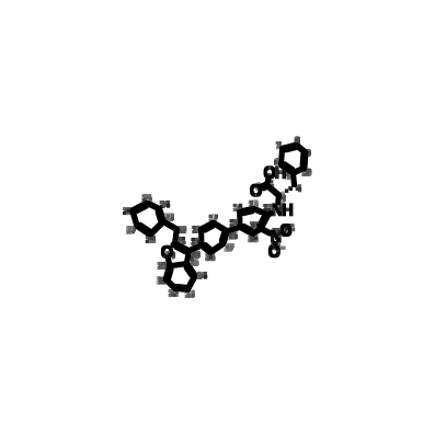 O=C(O)[C@H](Cc1ccccc1)Nc1ccc(-c2ccc(-c3c(Cc4ccccc4)oc4ccccc34)cc2)cc1[N+](=O)[O-]